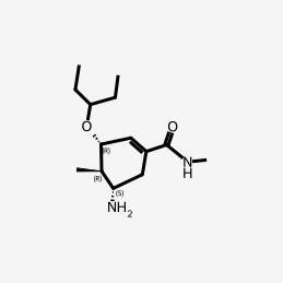 CCC(CC)O[C@@H]1C=C(C(=O)NC)C[C@H](N)[C@H]1C